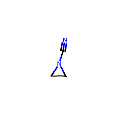 N#CN1CC1